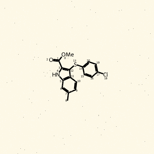 COC(=O)c1[nH]c2cc(C)ccc2c1Sc1ccc(Cl)cc1